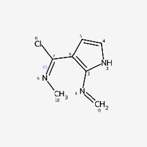 C=Nc1[nH]ccc1/C(Cl)=N\C